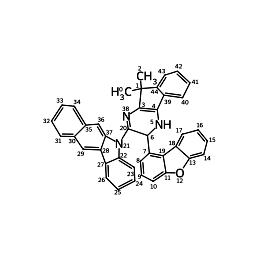 CC1(C)C2=C(NC(c3cccc4oc5ccccc5c34)C(n3c4ccccc4c4cc5ccccc5cc43)=N2)c2ccccc21